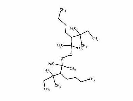 CCCCC(C(C)(C)CC)C(C)(C)OOC(C)(C)C(CCCC)C(C)(C)CC